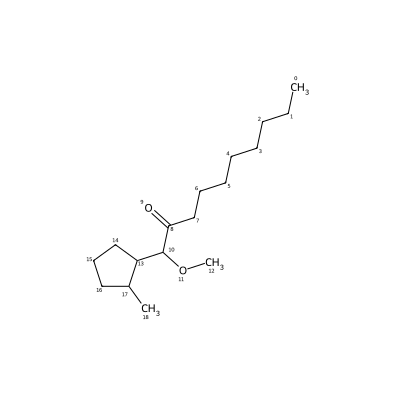 CCCCCCCCC(=O)C(OC)C1CCCC1C